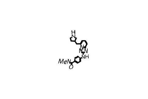 CNC(=O)c1ccc(Nc2nc3cccc(CC4CCNC4)n3n2)cc1